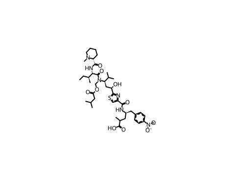 CC[C@H](C)[C@H](NC(=O)[C@H]1CCCCN1C)C(=O)N(COC(=O)CC(C)C)[C@H](C[C@@H](O)c1nc(C(=O)N[C@@H](Cc2ccc([N+](=O)[O-])cc2)CC(C)C(=O)O)cs1)C(C)C